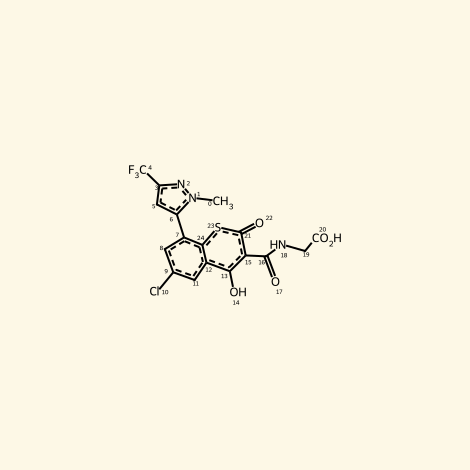 Cn1nc(C(F)(F)F)cc1-c1cc(Cl)cc2c(O)c(C(=O)NCC(=O)O)c(=O)sc12